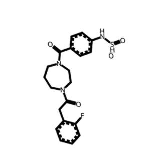 O=C(Cc1ccccc1F)N1CCCN(C(=O)c2ccc(N[SH](=O)=O)cc2)CC1